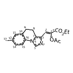 CCOC(=O)C(=Cc1ncn2c1CCc1cc(C)ccc1-2)OC(C)=O